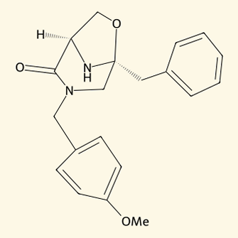 COc1ccc(CN2C[C@@]3(Cc4ccccc4)N[C@H](CO3)C2=O)cc1